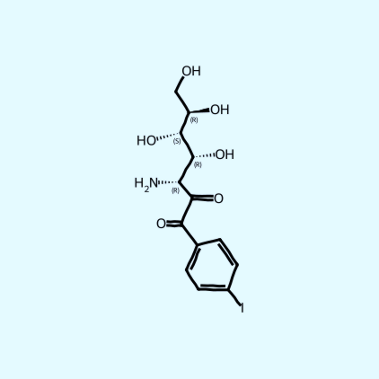 N[C@@H](C(=O)C(=O)c1ccc(I)cc1)[C@@H](O)[C@H](O)[C@H](O)CO